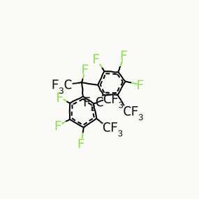 Fc1c(F)c(C(F)(F)F)c(C(F)(F)F)c(C(F)(c2c(F)c(F)c(F)c(C(F)(F)F)c2C(F)(F)F)C(F)(F)F)c1F